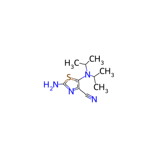 CC(C)N(c1sc(N)nc1C#N)C(C)C